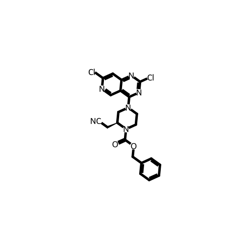 N#CC[C@H]1CN(c2nc(Cl)nc3cc(Cl)ncc23)CCN1C(=O)OCc1ccccc1